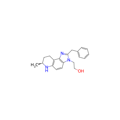 C[C@H]1CCc2c(ccc3c2nc(Cc2ccccc2)n3CCO)N1